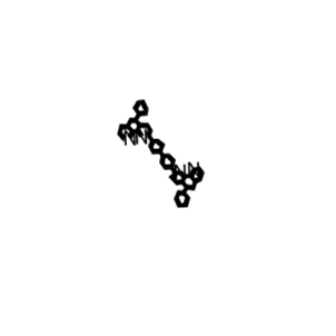 c1ccc(-c2cc3cccnc3c3nc(-c4ccc(-c5ccc(-c6ccc7c(-c8ccccc8)cc8cccnc8c7n6)cc5)cc4)ccc23)cc1